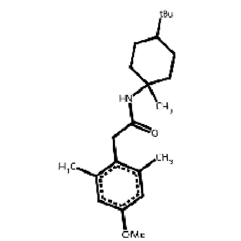 COc1cc(C)c(CC(=O)NC2(C)CCC(C(C)(C)C)CC2)c(C)c1